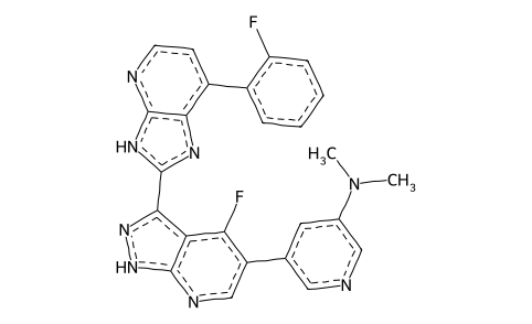 CN(C)c1cncc(-c2cnc3[nH]nc(-c4nc5c(-c6ccccc6F)ccnc5[nH]4)c3c2F)c1